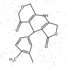 Cc1ccc(C2C3=C(COCC3=O)NC3=C2C(=O)OC3)cc1I